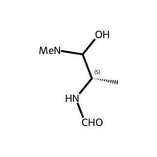 CNC(O)[C@H](C)NC=O